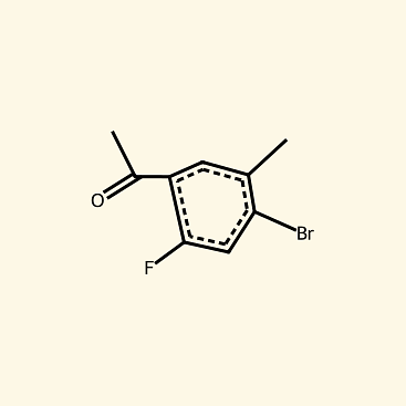 CC(=O)c1cc(C)c(Br)cc1F